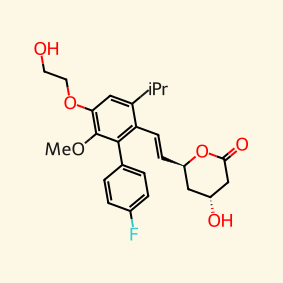 COc1c(OCCO)cc(C(C)C)c(/C=C/[C@@H]2C[C@@H](O)CC(=O)O2)c1-c1ccc(F)cc1